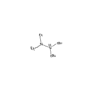 CCN(CC)[SiH](C(C)(C)C)C(C)(C)C